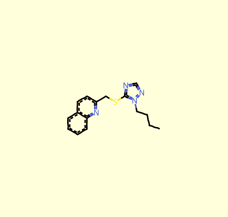 CCCCn1ncnc1SCc1ccc2ccccc2n1